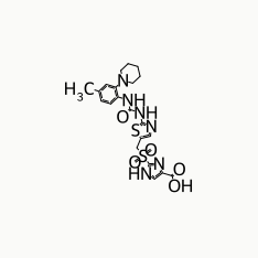 Cc1ccc(NC(=O)Nc2ncc(CS(=O)(=O)c3nc(C(=O)O)c[nH]3)s2)c(N2CCCCC2)c1